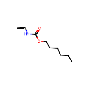 C=CNC(=O)OCCCCCC